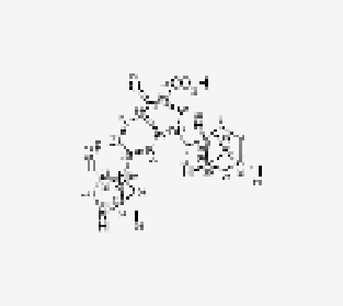 CC1(C)[C@H]2CC[C@@H](Cn3cc(C(=O)O)c(=O)c4cc(F)c(N5C[C@@H]6C[C@H]5CN6)nc43)[C@H]1C2